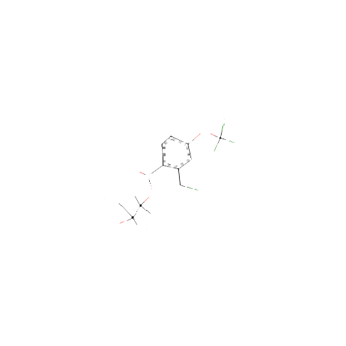 CC(C)(O)C(C)(C)OB(O)c1ccc(OC(F)(F)F)cc1CBr